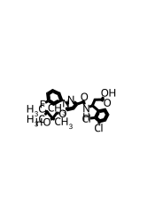 CC(C)(C)C(C)(O)COc1cc(C(=O)NC(CC(=O)O)c2cccc(Cl)c2Cl)nn1-c1cccc(F)c1